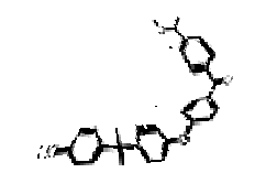 COC(C)c1ccc(C(=O)c2ccc(Oc3ccc(C(C)(C)c4ccc(O)cc4)cc3)cc2)cc1